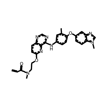 C=CC(=O)N(C)CCOc1ccc2ncnc(Nc3ccc(Oc4ccc5c(c4)ncn5C)c(C)c3)c2n1